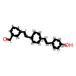 O=Cc1cccc(/C=C/c2ccc(/C=C/c3ccc(O)cc3)cc2)c1